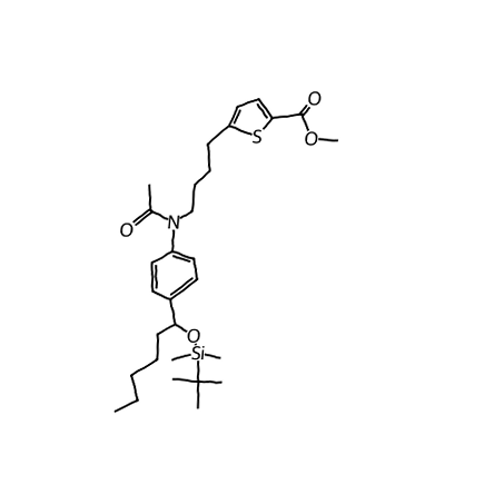 CCCCCC(O[Si](C)(C)C(C)(C)C)c1ccc(N(CCCCc2ccc(C(=O)OC)s2)C(C)=O)cc1